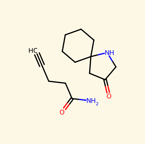 C#CCCC(N)=O.O=C1CNC2(CCCCC2)C1